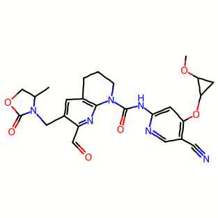 COC1CC1Oc1cc(NC(=O)N2CCCc3cc(CN4C(=O)OCC4C)c(C=O)nc32)ncc1C#N